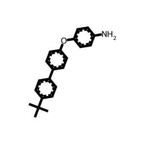 CC(C)(C)c1ccc(-c2ccc(Oc3ccc(N)cc3)cc2)cc1